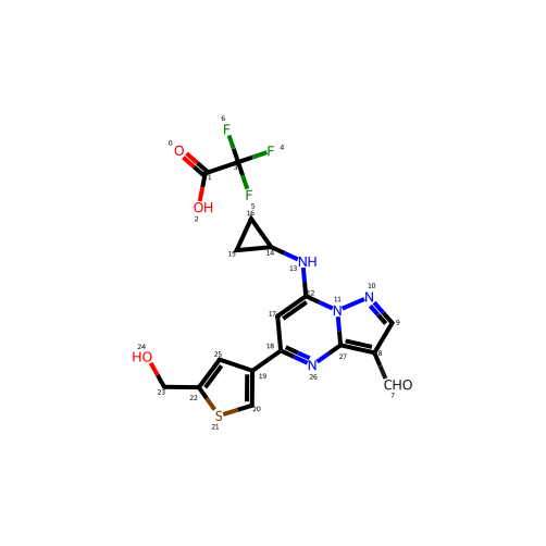 O=C(O)C(F)(F)F.O=Cc1cnn2c(NC3CC3)cc(-c3csc(CO)c3)nc12